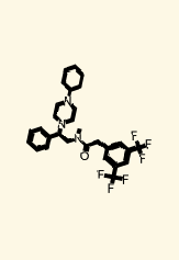 CN(CC(c1ccccc1)N1CCN(C2CCCCC2)CC1)C(=O)Cc1cc(C(F)(F)F)cc(C(F)(F)F)c1